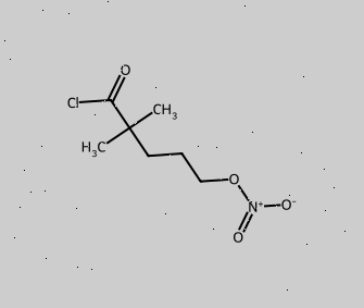 CC(C)(CCCO[N+](=O)[O-])C(=O)Cl